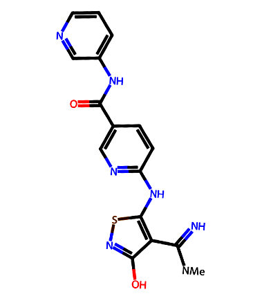 CNC(=N)c1c(O)nsc1Nc1ccc(C(=O)Nc2cccnc2)cn1